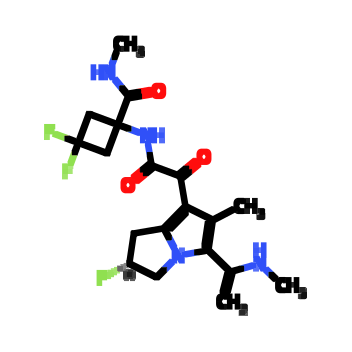 C=C(NC)c1c(C)c(C(=O)C(=O)NC2(C(=O)NC)CC(F)(F)C2)c2n1C[C@H](F)C2